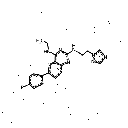 Fc1ccc(-c2ccc3nc(NCCn4cncn4)nc(NCC(F)(F)F)c3n2)cc1